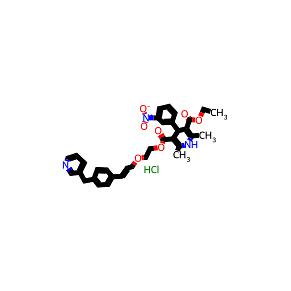 CCOC(=O)C1=C(C)NC(C)=C(C(=O)OCCOC/C=C/c2ccc(Cc3cccnc3)cc2)C1c1cccc([N+](=O)[O-])c1.Cl